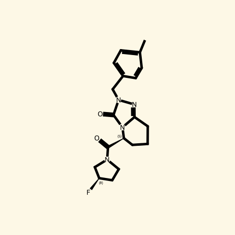 Cc1ccc(Cn2nc3n(c2=O)[C@H](C(=O)N2CC[C@@H](F)C2)CCC3)cc1